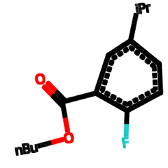 CCCCOC(=O)c1cc(C(C)C)ccc1F